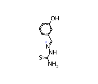 NC(=S)N/N=C/c1cccc(O)c1